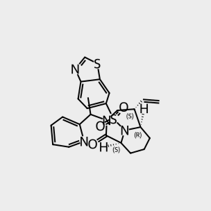 C=C[C@H]1CN(C(C)c2ccccn2)C(=O)[C@@H]2CCC[C@H]1N2S(=O)(=O)c1ccc2ncsc2c1